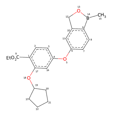 CCOC(=O)c1ccc(Oc2ccc3c(c2)COB3C)cc1OC1CCCC1